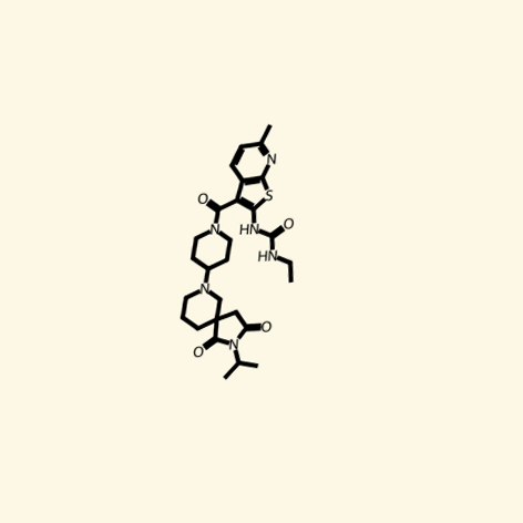 CCNC(=O)Nc1sc2nc(C)ccc2c1C(=O)N1CCC(N2CCCC3(CC(=O)N(C(C)C)C3=O)C2)CC1